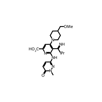 COCC1CCN(c2cc(C(=O)O)nc(Nc3ccc(=O)n(C)n3)c2C(=N)C(C)C)CC1